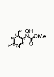 COC(=O)N(O)c1cnc(C)cc1C